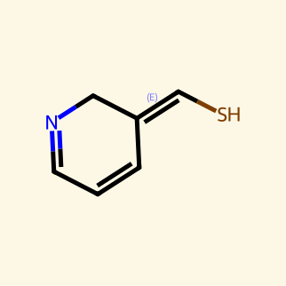 S/C=C1\C=CC=NC1